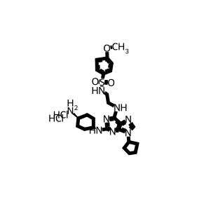 COc1ccc(S(=O)(=O)NCCNc2nc(N[C@H]3CC[C@H](N)CC3)nc3c2ncn3C2CCCC2)cc1.Cl.Cl